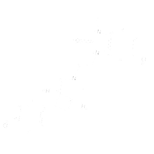 Cn1c(=O)n(CCN2C[C@H]3C[C@H](c4ccc(Cl)cc4)[C@H]3C2)c2cc(Cl)ccc21